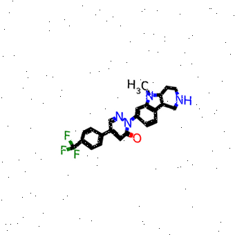 CN1c2cc(-n3ncc(-c4ccc(C(F)(F)F)cc4)cc3=O)ccc2C2CNCCC21